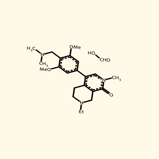 CCN1CCc2c(-c3cc(OC)c(CN(C)C)c(OC)c3)cn(C)c(=O)c2C1.O=CO